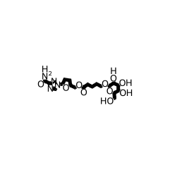 NC(=O)c1ncn(C2CCC(COC(=O)CCCCOC3OC(CO)C(O)C(O)C3O)O2)n1